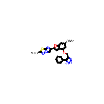 COc1cc(OCc2nn[nH]c2-c2ccccc2)c2cc(-c3cn4nc(OC)sc4n3)oc2c1